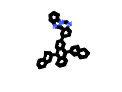 c1ccc2cc(-c3c4ccccc4c(-c4ccc5ccccc5c4)c4cc(-c5ccc6ncn7c8ccccc8nc7c6c5)ccc34)ccc2c1